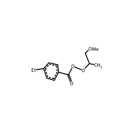 CCc1ccc(C(=O)OO[C](C)COC)cc1